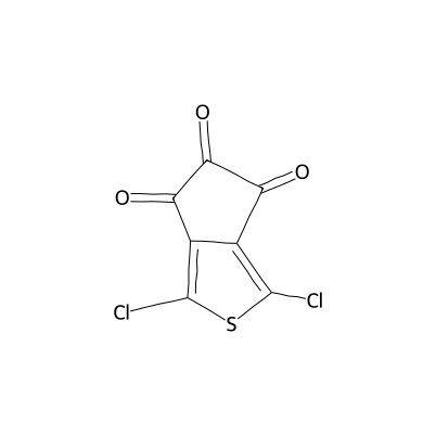 O=c1c(=O)c2c(Cl)sc(Cl)c2c1=O